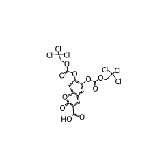 O=C(OCC(Cl)(Cl)Cl)Oc1cc2cc(C(=O)O)c(=O)oc2cc1OC(=O)OCC(Cl)(Cl)Cl